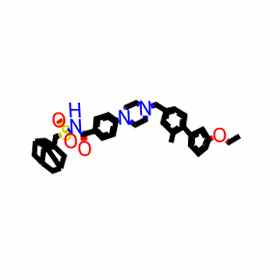 CCOc1cccc(-c2ccc(CN3CCN(c4ccc(C(=O)NS(=O)(=O)CC56CC7CC(CC(C7)C5)C6)cc4)CC3)cc2C)c1